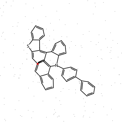 c1ccc(-c2ccc(N(c3ccccc3-c3cccc4sc5ccccc5c34)c3cccc4ccccc34)cc2)cc1